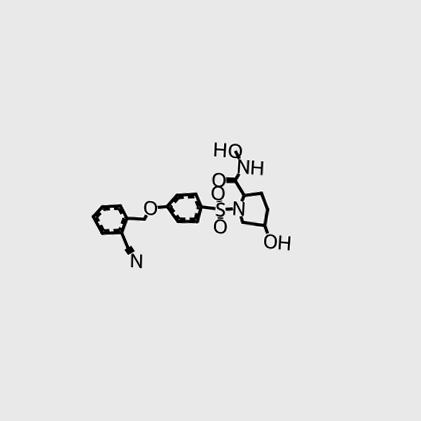 N#Cc1ccccc1COc1ccc(S(=O)(=O)N2CC(O)CCC2C(=O)NO)cc1